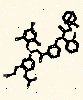 CCOc1cc([C@H](Cc2c(Cl)c[n+]([O-])cc2Cl)OC(=O)c2cccc(CN(C(=O)O[C@H]3CN4CCC3CC4)c3ccccc3F)c2)ccc1OC(F)F